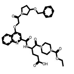 CCOC(=O)N1CCN(C(=O)C(CCC(=O)O)NC(=O)c2cc(OCC(=O)N3CCC(OCc4ccccc4)C3)c3ccccc3n2)CC1